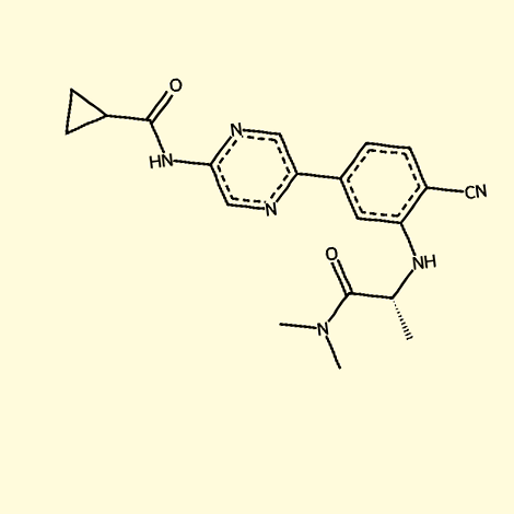 C[C@@H](Nc1cc(-c2cnc(NC(=O)C3CC3)cn2)ccc1C#N)C(=O)N(C)C